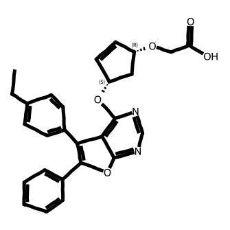 CCc1ccc(-c2c(-c3ccccc3)oc3ncnc(O[C@@H]4C=C[C@H](OCC(=O)O)C4)c23)cc1